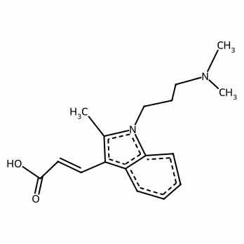 Cc1c(C=CC(=O)O)c2ccccc2n1CCCN(C)C